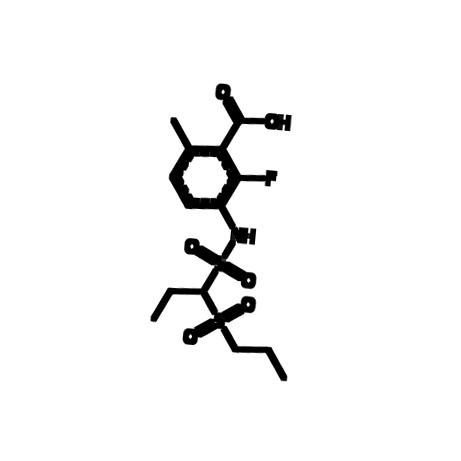 CCCS(=O)(=O)C(CC)S(=O)(=O)Nc1ccc(C)c(C(=O)O)c1F